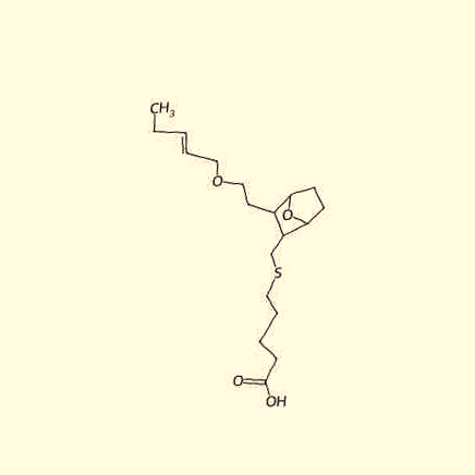 CCC=CCOCCC1C2CCC(O2)C1CSCCCCC(=O)O